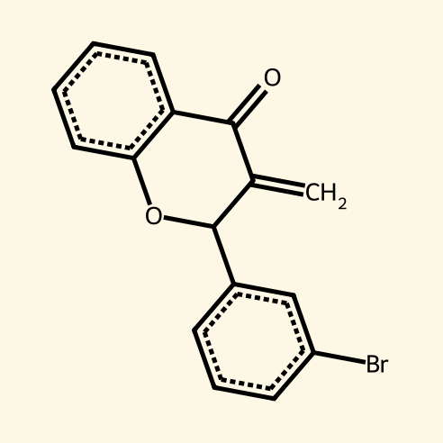 C=C1C(=O)c2ccccc2OC1c1cccc(Br)c1